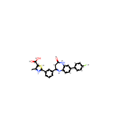 Cc1nc(-c2cccc(C3=Nc4ccc(-c5ccc(F)cc5)cc4NC(=O)C3)c2)sc1C(=O)O